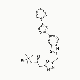 CCC(C)(C)NC(=O)Cc1nnc(Cc2nc3ccc(-c4ccc(-c5ccccn5)s4)cc3s2)o1